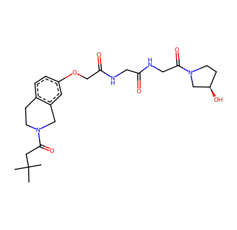 CC(C)(C)CC(=O)N1CCc2ccc(OCC(=O)NCC(=O)NCC(=O)N3CC[C@@H](O)C3)cc2C1